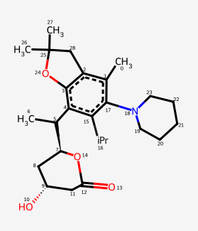 Cc1c2c(c(C(C)[C@@H]3C[C@@H](O)CC(=O)O3)c(C(C)C)c1N1CCCCC1)OC(C)(C)C2